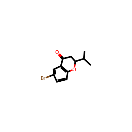 CC(C)C1CC(=O)c2cc(Br)ccc2O1